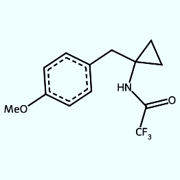 COc1ccc(CC2(NC(=O)C(F)(F)F)CC2)cc1